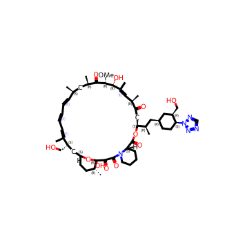 CO[C@H]1C(=O)[C@H](C)C[C@H](C)/C=C/C=C/C=C(\C)[C@@H](CO)C[C@@H]2CC[C@@H](C)[C@@](O)(O2)C(=O)C(=O)N2CCCC[C@H]2C(=O)O[C@H]([C@H](C)C[C@@H]2CC[C@H](n3ncnn3)[C@H](CO)C2)CC(=O)[C@H](C)/C=C(\C)[C@H]1O